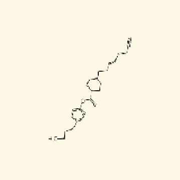 CCCCc1ccc(OC(=O)[C@H]2CC[C@H](CCC=CC=CC#N)CC2)cc1